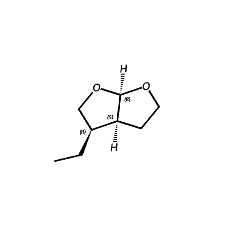 CC[C@H]1CO[C@H]2OCC[C@@H]12